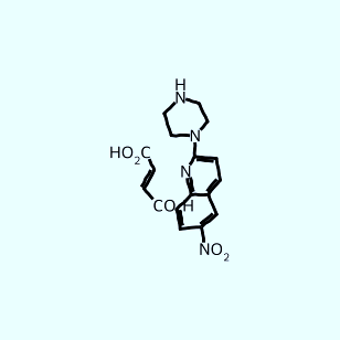 O=C(O)C=CC(=O)O.O=[N+]([O-])c1ccc2nc(N3CCNCC3)ccc2c1